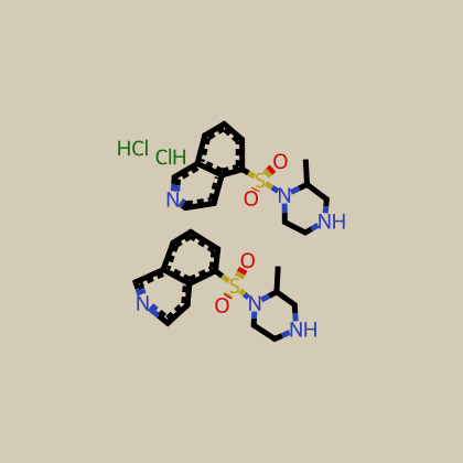 CC1CNCCN1S(=O)(=O)c1cccc2cnccc12.CC1CNCCN1S(=O)(=O)c1cccc2cnccc12.Cl.Cl